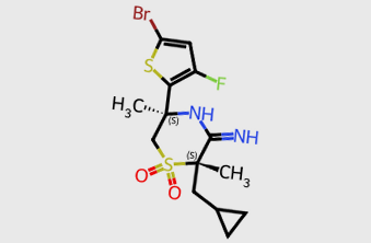 C[C@]1(CC2CC2)C(=N)N[C@](C)(c2sc(Br)cc2F)CS1(=O)=O